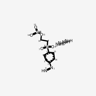 N=Nc1ccc(S(=O)(=O)CCO[SH](=O)=O)cc1.[NaH].[NaH].[NaH].[NaH]